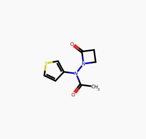 CC(=O)N(c1ccsc1)N1CCC1=O